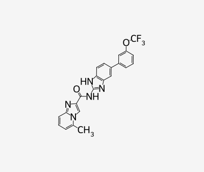 Cc1cccc2nc(C(=O)Nc3nc4cc(-c5cccc(OC(F)(F)F)c5)ccc4[nH]3)cn12